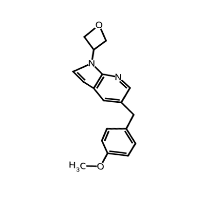 COc1ccc(Cc2cnc3c(ccn3C3COC3)c2)cc1